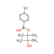 CC(C)(O)C(C)(C)OB(O)c1ccc(S)cc1